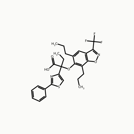 CCCc1cc2c(C(F)(F)F)noc2c(CCC)c1OC(CC)(C(=O)O)c1csc(-c2ccccc2)n1